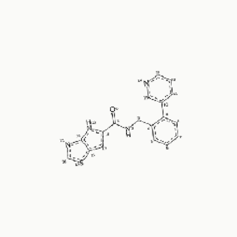 O=C(NCc1ccccc1-c1cccnc1)c1cc2scnc2[nH]1